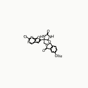 COc1ccc2c(c1)C(=O)N(C[C@@]1(c3cc4cnc(Cl)nc4o3)NC(=O)NC1=O)C2